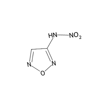 O=[N+]([O-])Nc1cnon1